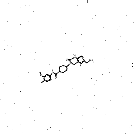 COc1cc(NC(=O)C2CCC(N3Cc4c(ccc(CN)c4C)NC3=O)CC2)ccc1C